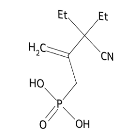 C=C(CP(=O)(O)O)C(C#N)(CC)CC